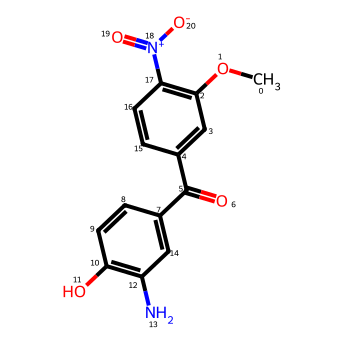 COc1cc(C(=O)c2ccc(O)c(N)c2)ccc1[N+](=O)[O-]